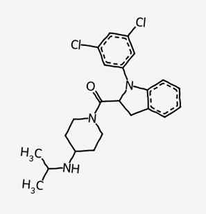 CC(C)NC1CCN(C(=O)C2Cc3ccccc3N2c2cc(Cl)cc(Cl)c2)CC1